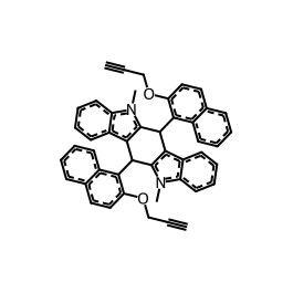 C#CCOc1ccc2ccccc2c1C1c2c(n(C)c3ccccc23)C(c2c(OCC#C)ccc3ccccc23)c2c1n(C)c1ccccc21